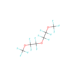 FC(F)(F)OC(F)(F)C(F)(F)OC(F)(F)C(F)(F)OC(F)(F)F